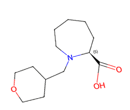 O=C(O)[C@@H]1CCCCCN1CC1CCOCC1